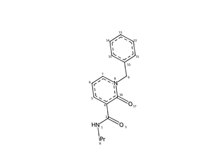 CC(C)NC(=O)c1cccn(Cc2ccccc2)c1=O